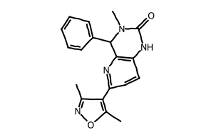 Cc1noc(C)c1-c1ccc2c(n1)C(c1ccccc1)N(C)C(=O)N2